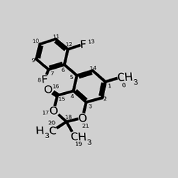 Cc1cc2c(c(-c3c(F)cccc3F)c1)C(=O)OC(C)(C)O2